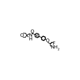 CC1(CNC(=O)C23CCC(c4ccc(OCC(=CF)CN)cc4)(CC2)CC3)CCOCC1